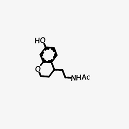 CC(=O)NCCC1CCOc2cc(O)ccc21